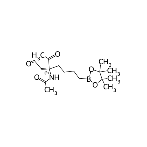 CC(=O)N[C@@](CC=O)(CCCCB1OC(C)(C)C(C)(C)O1)C(C)=O